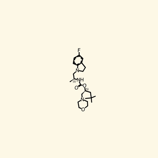 C[C@@H](CN1CCc2cc(F)ccc21)NC(=O)O[C@H](CN1CCOCC1)CC(C)(C)C